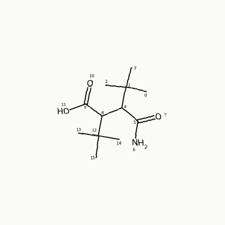 CC(C)(C)C(C(N)=O)C(C(=O)O)C(C)(C)C